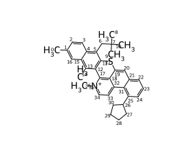 Cc1ccc2c(CC(C)(C)C)c3c(c(C)c2c1)-c1c2c(cc4cccc(C5CCCC5)c4c2cc[n+]1C)S3